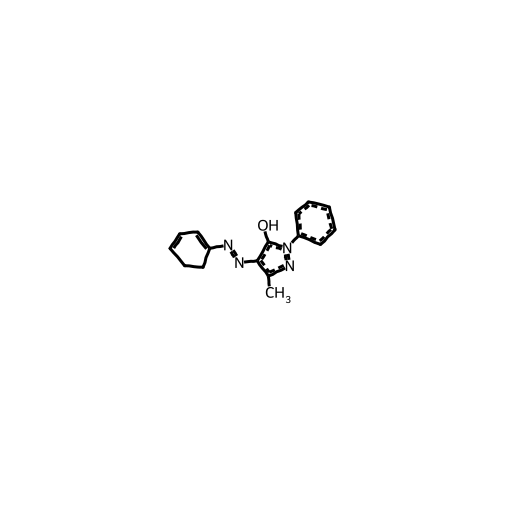 Cc1nn(-c2ccccc2)c(O)c1N=NC1=CC=CCC1